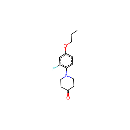 CCCOc1ccc(N2CCC(=O)CC2)c(F)c1